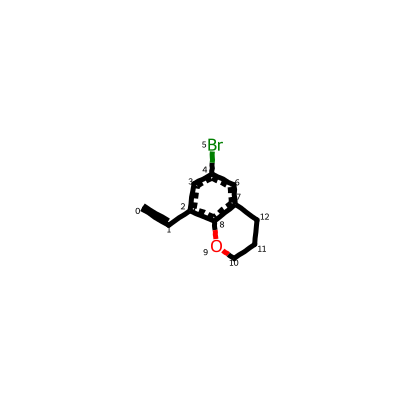 C=Cc1cc(Br)cc2c1OCCC2